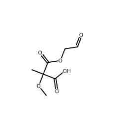 COC(C)(C(=O)O)C(=O)OCC=O